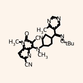 Cc1ncncc1/C(=N/OC(C)(C)C)C1CCC(N(C)c2c(C#N)c(=O)n(C)c3ccc(C#N)nc23)CC1